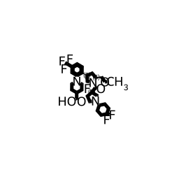 COC[C@@H]1C[C@@H](c2ccc(C(F)(F)F)cc2N2CCC(C(=O)O)CC2)CN1C(=O)[C@@]1(F)CCN(C2CCC(F)(F)CC2)C1